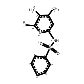 Cc1cc(NS(=O)(=O)c2ccccc2)nc(Cl)c1C